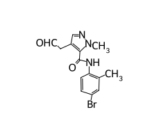 Cc1cc(Br)ccc1NC(=O)c1c(CC=O)cnn1C